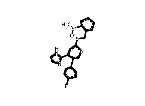 C[S+]([O-])c1ccccc1CSc1cc(-c2ncc[nH]2)c(-c2ccc(F)cc2)cn1